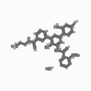 COc1ccccc1C(=O)Nc1nc(-c2ccc(F)cc2O)cc(-c2cccc(C(=O)NCCN)c2)c1C#N.Cl